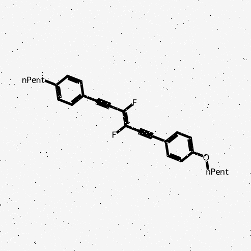 CCCCCOc1ccc(C#C/C(F)=C(\F)C#Cc2ccc(CCCCC)cc2)cc1